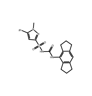 CC(C)c1cc(S(=O)(=O)NC(=O)Nc2c3c(cc4c2CCC4)CCC3)nn1C